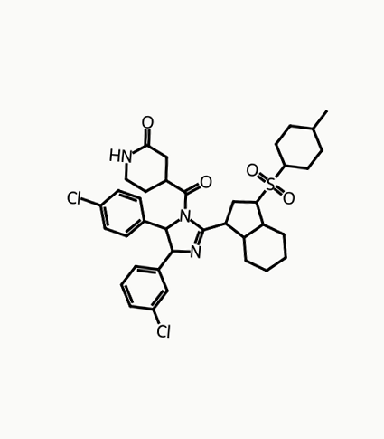 CC1CCC(S(=O)(=O)C2CC(C3=NC(c4cccc(Cl)c4)C(c4ccc(Cl)cc4)N3C(=O)C3CCNC(=O)C3)C3CCCCC32)CC1